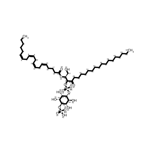 CCCCC/C=C\C/C=C\C/C=C\C/C=C\CCCC(=O)O[C@@H](CO)C(OP(=O)(O)O[C@H]1[C@@H](O)[C@@H](O)[C@H](OP(=O)(O)O)[C@@H](O)[C@@H]1O)C(=O)CCCCCCCCCCCCCCCCC